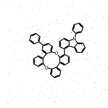 c1ccc(-c2ccc3c(c2)-c2ccccc2Oc2ccccc2-c2cccc(-c4cccc5c4c4ccccc4n5-c4ccccc4)c2O3)cc1